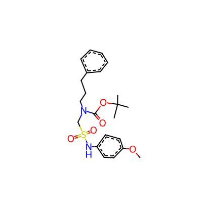 COc1ccc(NS(=O)(=O)CN(CCCc2ccccc2)C(=O)OC(C)(C)C)cc1